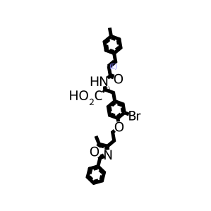 Cc1ccc(/C=C/C(=O)N[C@@H](Cc2ccc(OCCc3nc(-c4ccccc4)oc3C)c(Br)c2)C(=O)O)cc1